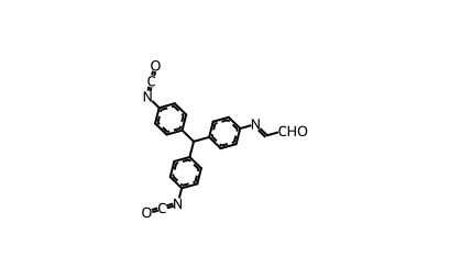 O=C=Nc1ccc(C(c2ccc(N=C=O)cc2)c2ccc(N=CC=O)cc2)cc1